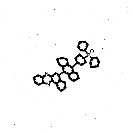 O=P(c1ccccc1)(c1ccccc1)c1ccc(-c2c3ccccc3c(-c3cc4nc5ccccc5nc4c4ccccc34)c3ccccc23)cc1